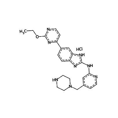 CCOc1nccc(-c2ccc3nc(Nc4cc(CN5CCNCC5)ccn4)[nH]c3c2)n1.Cl